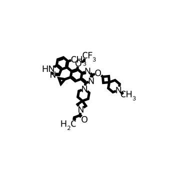 C=CC(=O)N1CC2(CCN(c3nc(OC4CC5(CCN(C)CC5)C4)nc4c(OCC(F)(F)F)c(-c5c(C)ccc6[nH]ncc56)c(C5CC5)cc34)CC2)C1